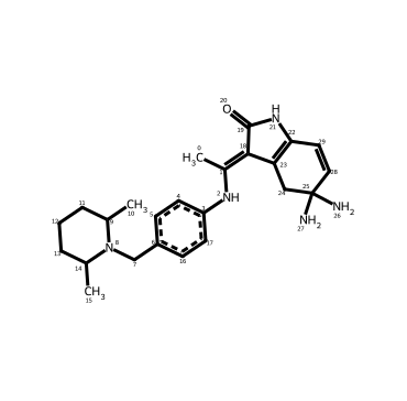 CC(Nc1ccc(CN2C(C)CCCC2C)cc1)=C1C(=O)NC2=C1CC(N)(N)C=C2